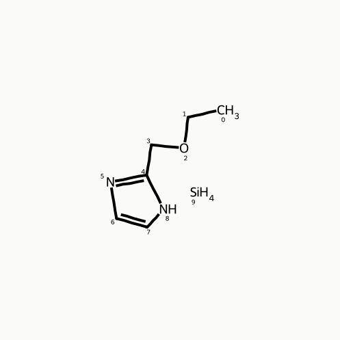 CCOCc1ncc[nH]1.[SiH4]